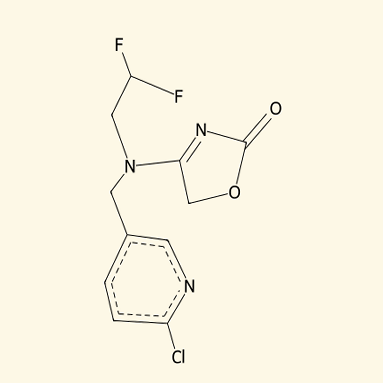 O=C1N=C(N(Cc2ccc(Cl)nc2)CC(F)F)CO1